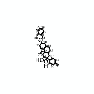 CCC12CC(O)C(O)(c3ccc(F)cc3)CC1CCc1cc(OCc3cccnc3C)ccc12